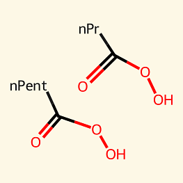 CCCC(=O)OO.CCCCCC(=O)OO